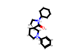 O=C1N(C2CCCCC2)CC[C@]12CCCN(c1ccccc1)C2